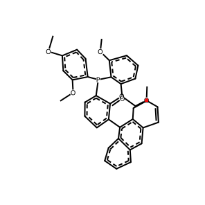 COCOc1c(-c2c3c(cc4ccccc24)C=CCC3)cccc1P(c1ccc(OC)cc1OC)c1c(OC)cccc1OC